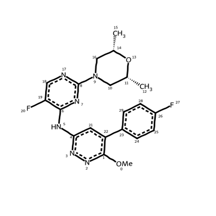 COc1nnc(Nc2nc(N3C[C@@H](C)O[C@@H](C)C3)ncc2F)cc1-c1ccc(F)cc1